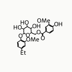 CCc1ccc(OC2OC(COC(=O)c3ccc(O)c(OC)c3)C(O)C(O)C2O)c(OC)c1